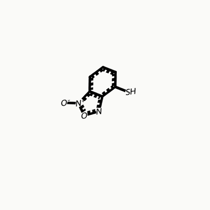 [O-][n+]1onc2c(S)cccc21